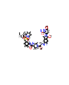 CC1(C)CCCCN1S(=O)(=O)Cc1cccc(NC(=O)C2CCN(C(=O)CNc3ccc4c(c3)CN(C3CCC(=O)NC3=O)C4=O)CC2)c1